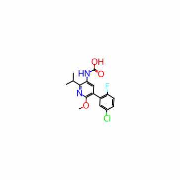 COc1nc(C(C)C)c(NC(=O)O)cc1-c1cc(Cl)ccc1F